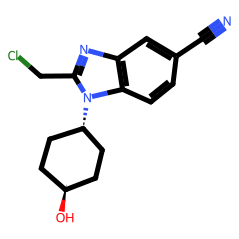 N#Cc1ccc2c(c1)nc(CCl)n2[C@H]1CC[C@H](O)CC1